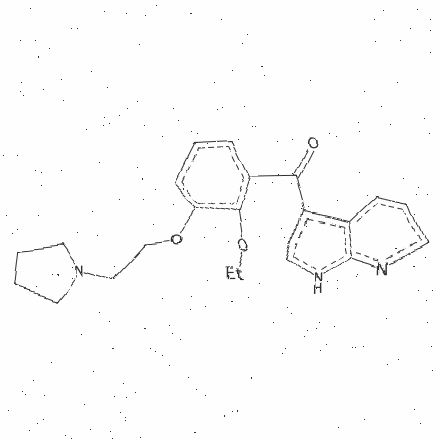 CCOc1c(OCCN2CCCC2)cccc1C(=O)c1c[nH]c2ncccc12